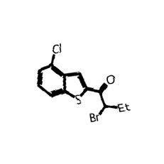 CCC(Br)C(=O)c1cc2c(Cl)cccc2s1